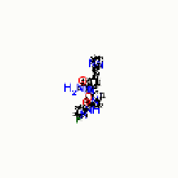 NC(=O)c1nn(CC(=O)N2[C@H](I)CC[C@H]2C(=O)Nc2cccc(F)n2)c2ccc(C#Cc3ncccn3)cc12